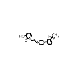 CC(F)(F)c1cccc(N2CCN(CCCn3cccc(O)c3=O)CC2)c1